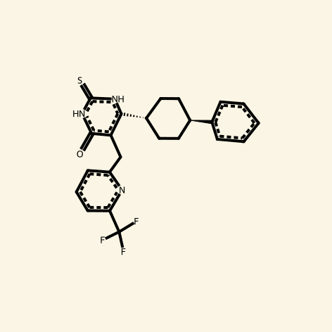 O=c1[nH]c(=S)[nH]c([C@H]2CC[C@H](c3ccccc3)CC2)c1Cc1cccc(C(F)(F)F)n1